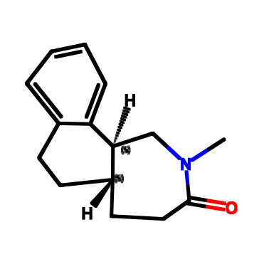 CN1C[C@@H]2c3ccccc3CC[C@H]2CCC1=O